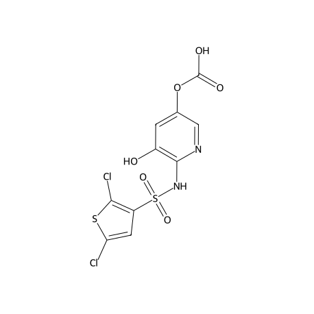 O=C(O)Oc1cnc(NS(=O)(=O)c2cc(Cl)sc2Cl)c(O)c1